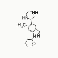 Cc1cc2c(cnn2C2CCCCO2)cc1C1CNCCN1